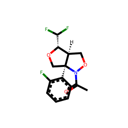 CC(=O)N1OC[C@@H]2[C@@H](C(F)F)OC[C@@]21c1ccccc1F